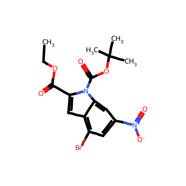 CCOC(=O)c1cc2c(Br)cc([N+](=O)[O-])cc2n1C(=O)OC(C)(C)C